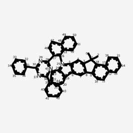 CC1(C)c2cc3c(cc2-c2ccc4ccccc4c21)c1ccccc1n3-c1c(-c2nc(-c3ccccc3)nc(-c3ccccc3)n2)ccc2ccccc12